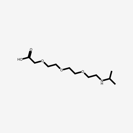 CC(C)NCCOCCOCCOCC(=O)O